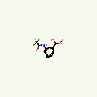 COC(=O)c1ccccc1NC(=O)C(F)(F)F